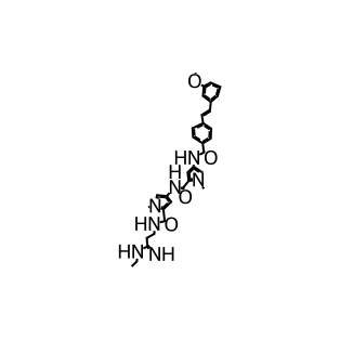 CCNC(=N)CCNC(=O)c1cc(NC(=O)c2cc(NC(=O)c3ccc(C=Cc4cccc(OC)c4)cc3)cn2C)cn1C